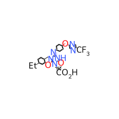 CCc1ccc(Cn2c(=O)n(C[C@H](C)C(=O)O)c(=O)[nH]/c2=N\c2ccc(Oc3cnc(C(F)(F)F)cn3)cc2)cc1